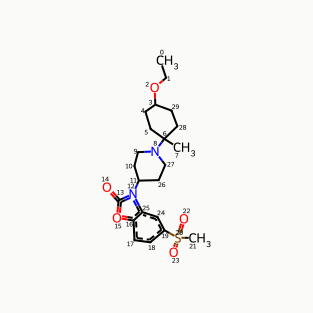 CCOC1CCC(C)(N2CCC(n3c(=O)oc4ccc(S(C)(=O)=O)cc43)CC2)CC1